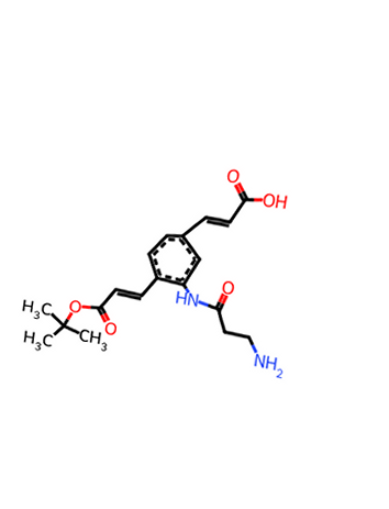 CC(C)(C)OC(=O)/C=C/c1ccc(/C=C/C(=O)O)cc1NC(=O)CCN